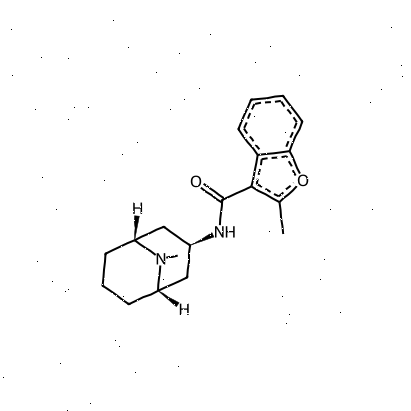 Cc1oc2ccccc2c1C(=O)N[C@@H]1C[C@H]2CCC[C@@H](C1)N2C